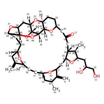 C=C1C2C[C@@H]3OC(CC(O)CO)[C@H](C)[C@H]3CC(=O)CC3CC[C@@H]4O[C@H]5CC6O[C@]7(CC[C@H]8CC(=C)[C@H](CC[C@@H](C[C@H]1C)O2)O8)C[C@H]6O[C@H]5[C@@H](O7)[C@H]4O3